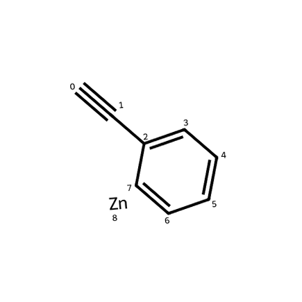 C#Cc1ccccc1.[Zn]